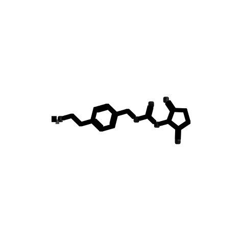 CCCc1ccc(COC(=O)OC2C(=O)CCC2=O)cc1